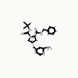 CC(C)(C)OC(=O)N1C[C@@H](Cc2ccnc(N)c2)C[C@@H]1C(=O)OCc1ccccc1